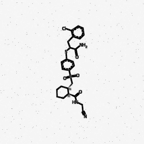 N#CCNC(=O)[C@H]1CCCC[C@@H]1CS(=O)(=O)c1ccc(SC(Cc2ccccc2Cl)C(N)=O)cc1